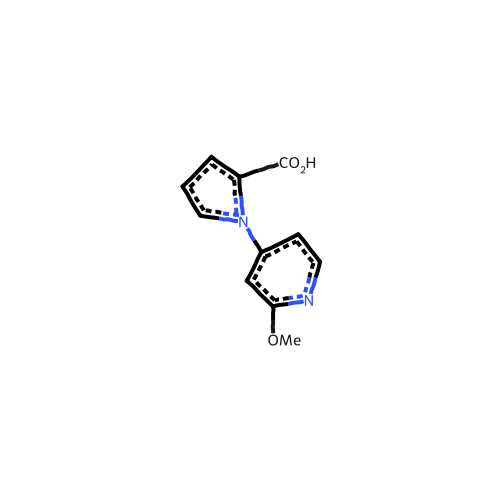 COc1cc(-n2cccc2C(=O)O)ccn1